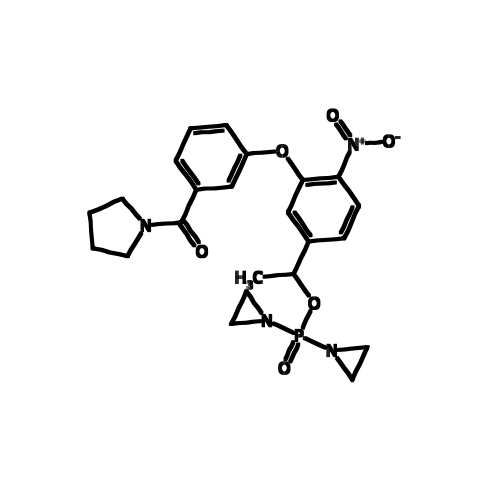 CC(OP(=O)(N1CC1)N1CC1)c1ccc([N+](=O)[O-])c(Oc2cccc(C(=O)N3CCCC3)c2)c1